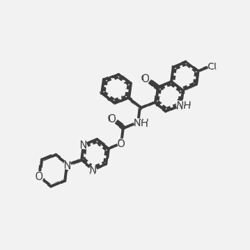 O=C(NC(c1ccccc1)c1c[nH]c2cc(Cl)ccc2c1=O)Oc1cnc(N2CCOCC2)nc1